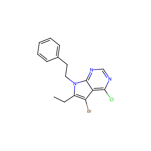 CCc1c(Br)c2c(Cl)ncnc2n1CCc1ccccc1